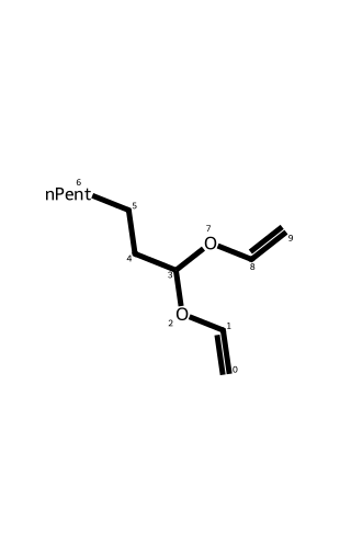 C=COC(CCCCCCC)OC=C